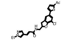 CCn1cc(C=CC(=O)NCC2Cc3cc(-c4ccc(C(C)=O)s4)cc(Cl)c3O2)cn1